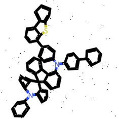 c1ccc(-c2ccc(N(c3ccc(-c4cccc5c4sc4ccccc45)cc3)c3cccc4c3-c3ccccc3C43c4ccccc4N(c4ccccc4)c4ccccc43)cc2)cc1